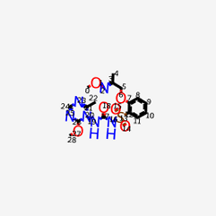 CON=C(C)COc1ccccc1S(=O)(=O)NC(=O)NN1C(C)=NC=NC1OC